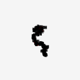 Cc1ncsc1-c1ccc([C@H](C)NC(=O)[C@@H]2C[C@@H](O)CN2C(=O)[C@@H](NC(=O)CCC(=O)NCCN2CC[C@@]3(CCN(CC(=O)NCc4cccc(CNc5cc(N6CCC7(CC6)CN(c6cc(F)c(CN8CCC(C)(C)CC8)cc6F)CC(=O)N7)ncn5)c4)C3)C2)C(C)(C)C)cc1